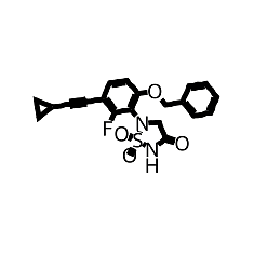 O=C1CN(c2c(OCc3ccccc3)ccc(C#CC3CC3)c2F)S(=O)(=O)N1